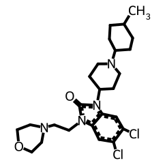 CC1CCC(N2CCC(n3c(=O)n(CCN4CCOCC4)c4cc(Cl)c(Cl)cc43)CC2)CC1